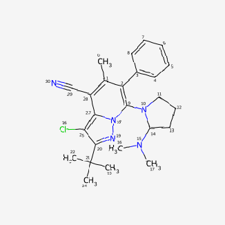 Cc1c(-c2ccccc2)c(N2CCCC2N(C)C)n2nc(C(C)(C)C)c(Cl)c2c1C#N